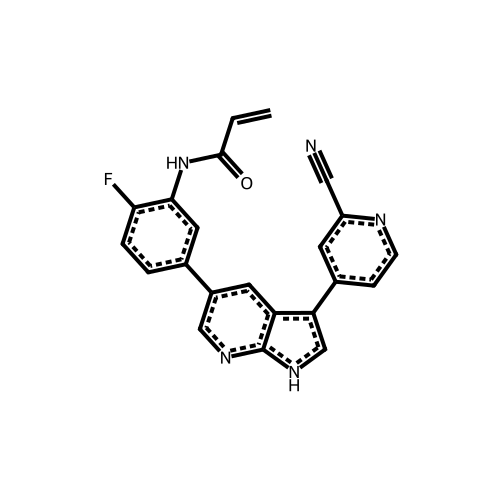 C=CC(=O)Nc1cc(-c2cnc3[nH]cc(-c4ccnc(C#N)c4)c3c2)ccc1F